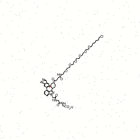 Cn1ncc2cc(F)c(-c3cccc4c3c(C3CCN(C(=O)CCC(=O)NCCOCCOCCOCCOCCOCCOCCCCCCCl)CC3)nn4CC(=O)NCC(=O)NCC(=O)O)cc21